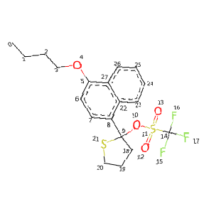 CCCCOc1ccc(C2(OS(=O)(=O)C(F)(F)F)CCCS2)c2ccccc12